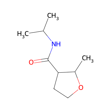 CC(C)NC(=O)C1CCOC1C